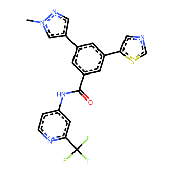 Cn1cc(-c2cc(C(=O)Nc3ccnc(C(F)(F)F)c3)cc(-c3cncs3)c2)cn1